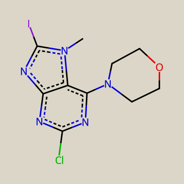 Cn1c(I)nc2nc(Cl)nc(N3CCOCC3)c21